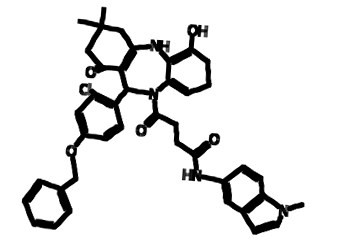 Cn1ccc2cc(NC(=O)CCC(=O)N3C4=CCCC(O)=C4NC4=C(C(=O)CC(C)(C)C4)C3c3ccc(OCc4ccccc4)cc3Cl)ccc21